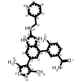 Cc1ccc(C(N)=O)cc1-c1cc(-c2c(C)noc2C)cc2[nH]c(NCc3cccnc3)nc12